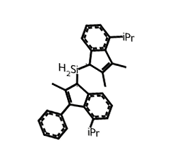 CC1=C(C)c2c(cccc2C(C)C)[C]1[SiH2][C]1C(C)=C(c2ccccc2)c2c1cccc2C(C)C